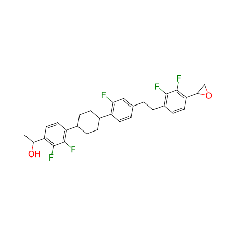 CC(O)c1ccc(C2CCC(c3ccc(CCc4ccc(C5CO5)c(F)c4F)cc3F)CC2)c(F)c1F